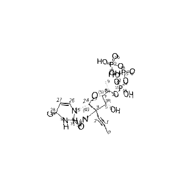 CC#CC1(N)[C@@H](O)[C@@H]([C@H](C)OP(=O)(O)OP(=O)(O)OP(=O)(O)O)O[C@H]1n1ccc(=O)[nH]c1=O